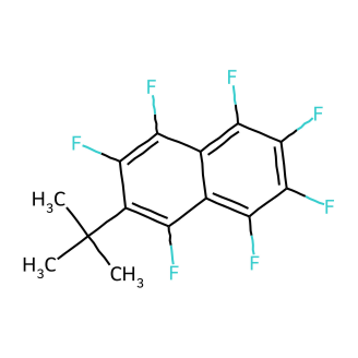 CC(C)(C)c1c(F)c(F)c2c(F)c(F)c(F)c(F)c2c1F